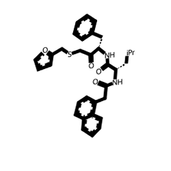 CC(C)C[C@H](NC(=O)Cc1cccc2ccccc12)C(=O)N[C@@H](Cc1ccccc1)C(=O)CSCc1ccco1